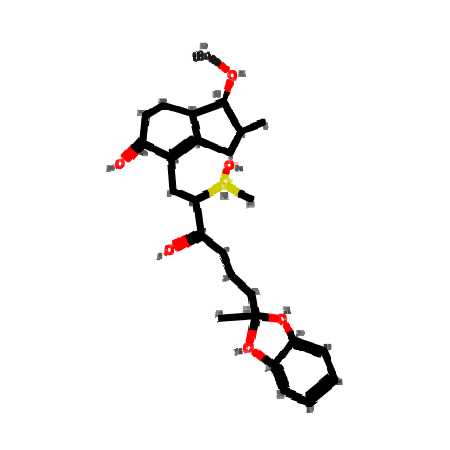 CC1CC2=C(CC(C(=O)CCCC3(C)Oc4ccccc4O3)[S+](C)[O-])C(=O)CCC2[C@H]1OC(C)(C)C